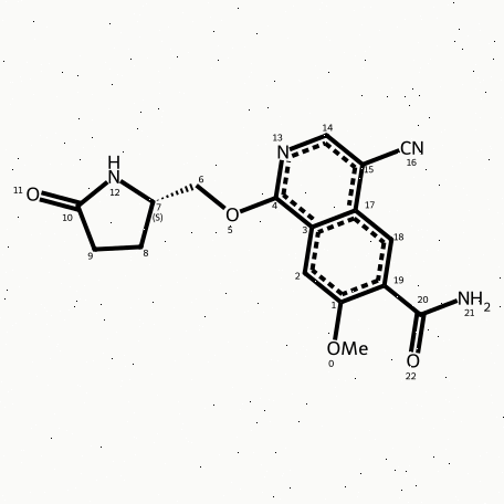 COc1cc2c(OC[C@@H]3CCC(=O)N3)ncc(C#N)c2cc1C(N)=O